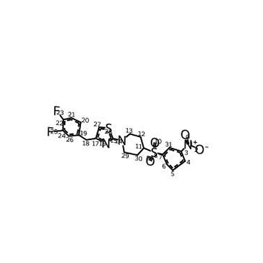 O=[N+]([O-])c1cccc(S(=O)(=O)C2CCN(c3nc(Cc4ccc(F)c(F)c4)cs3)CC2)c1